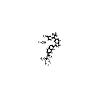 CC(C)(C)NC(=O)c1ccc2ccc(-c3nnc4ccc([C@@H](N5CCC(N)C5)C(F)(F)F)cn34)nc2c1.Cl.Cl